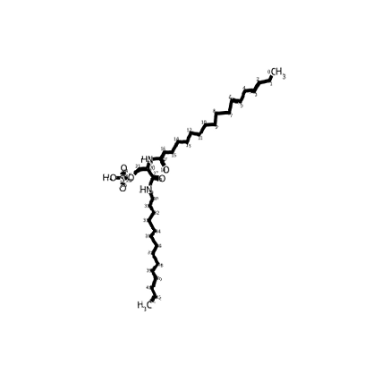 CCCCCCCCCCCCCCCCCC(=O)NC(COS(=O)(=O)O)C(=O)NCCCCCCCCCCCCCC